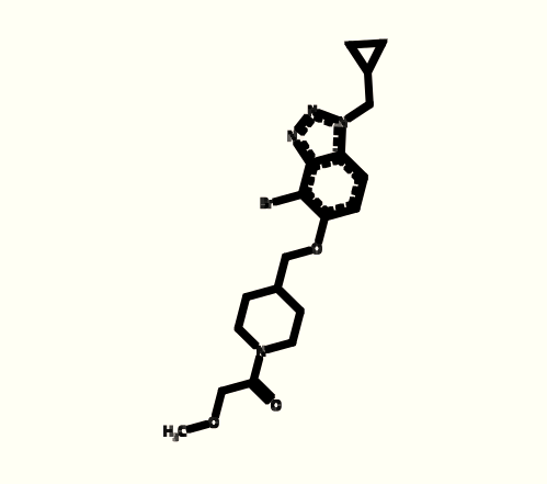 COCC(=O)N1CCC(COc2ccc3c(nnn3CC3CC3)c2Br)CC1